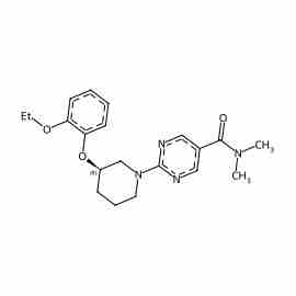 CCOc1ccccc1O[C@@H]1CCCN(c2ncc(C(=O)N(C)C)cn2)C1